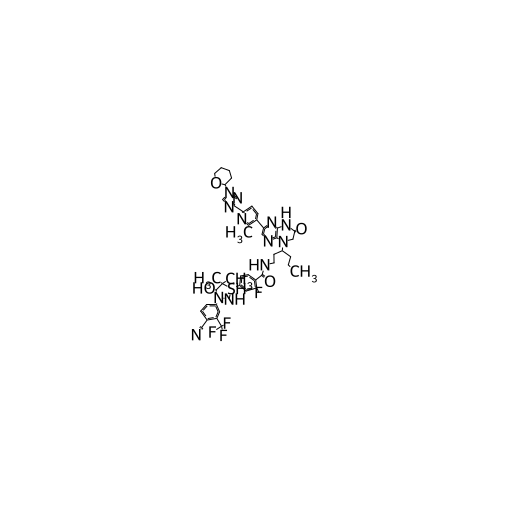 CCCC(CCNC(=O)c1ccc([SH]2NN(c3ccc(C#N)c(C(F)(F)F)c3)C(O)C2(C)C)cc1F)N1CC(=O)Nc2nc(-c3ccc(-c4ncn(C5CCCCO5)n4)nc3C)cnc21